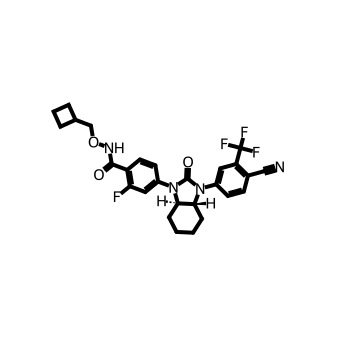 N#Cc1ccc(N2C(=O)N(c3ccc(C(=O)NOCC4CCC4)c(F)c3)[C@@H]3CCCC[C@H]32)cc1C(F)(F)F